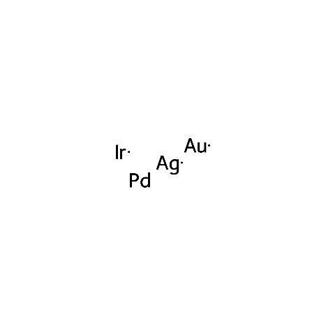 [Ag].[Au].[Ir].[Pd]